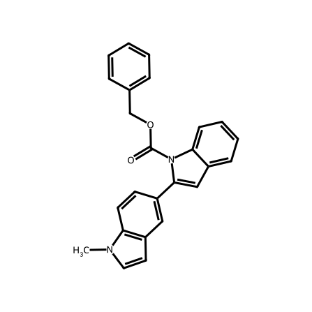 Cn1ccc2cc(-c3cc4ccccc4n3C(=O)OCc3ccccc3)ccc21